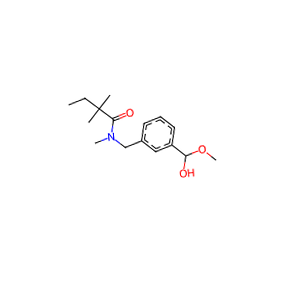 CCC(C)(C)C(=O)N(C)Cc1cccc(C(O)OC)c1